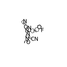 C=CC(=O)N1CCN(c2nc(OC[C@@H]3CCCN3C)nc3c2CC[C@]2(CCc4c(F)cccc4C2)C3)C[C@@H]1CC#N